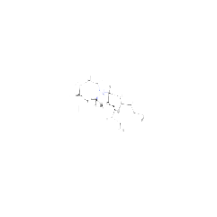 CCCCCCC(C)(CCCCC)N1CCCC(C)CC1(C)C